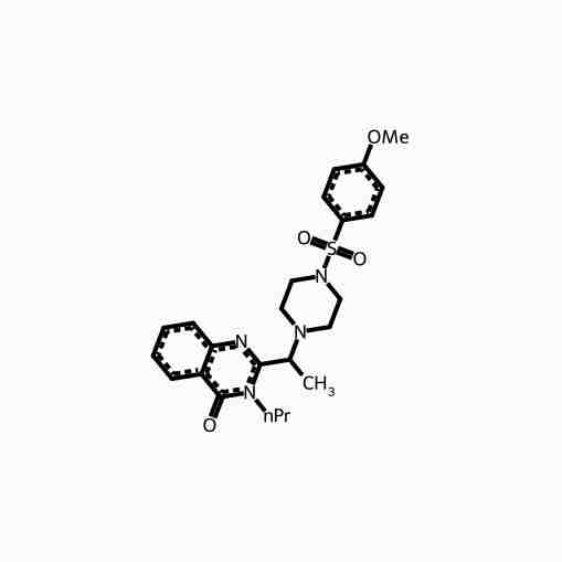 CCCn1c(C(C)N2CCN(S(=O)(=O)c3ccc(OC)cc3)CC2)nc2ccccc2c1=O